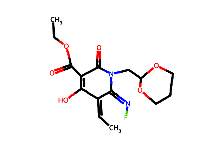 C/C=C1/C(O)=C(C(=O)OCC)C(=O)N(CC2OCCCO2)/C1=N/F